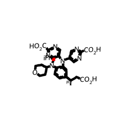 CC(C)CN(c1ccc([C@H](C)CC(=O)O)cc1N(c1cnc(C(=O)O)nc1)c1cnc(C(=O)O)nc1)C1CCOCC1